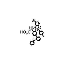 Cc1ccc(COc2ccc(Br)cc2C(=O)NC(CC(=O)O)c2ccc(-c3ccccc3Oc3ccccc3)cc2)cc1